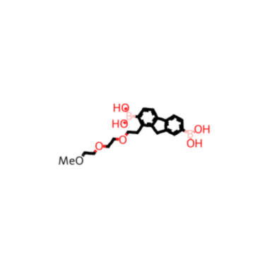 COCCOCCOCCc1c(B(O)O)ccc2c1Cc1cc(B(O)O)ccc1-2